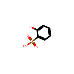 [O]c1ccccc1S(=O)(=O)O